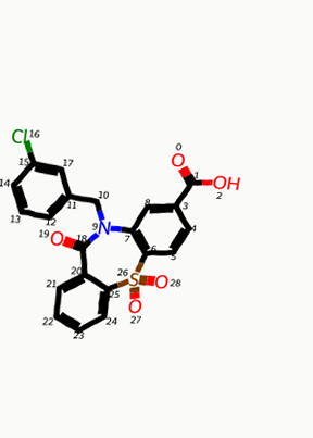 O=C(O)c1ccc2c(c1)N(Cc1cccc(Cl)c1)C(=O)c1ccccc1S2(=O)=O